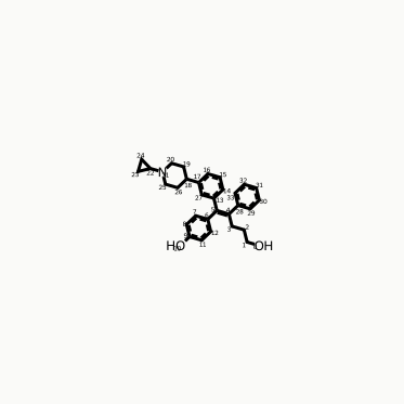 OCCC/C(=C(\c1ccc(O)cc1)c1cccc(C2CCN(C3CC3)CC2)c1)c1ccccc1